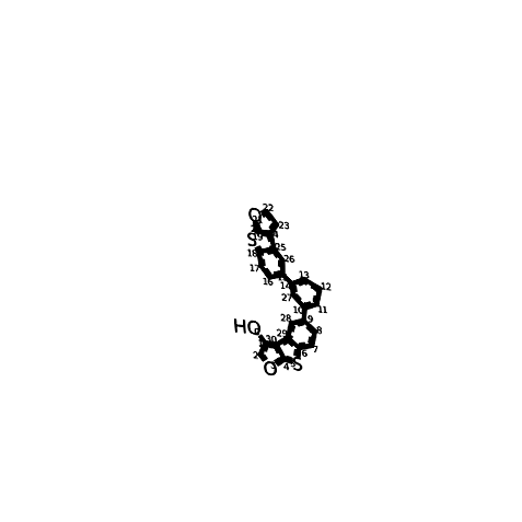 Oc1coc2sc3ccc(-c4cccc(-c5ccc6sc7occc7c6c5)c4)cc3c12